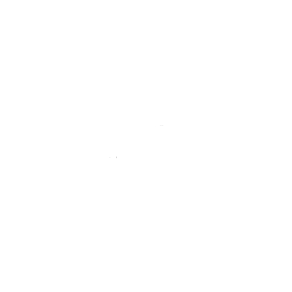 OC(Oc1ccc2cc3ccccc3cc2c1)C(c1ccccc1)c1ccccc1